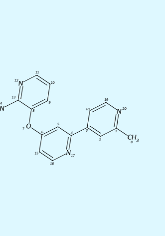 Cc1cc(-c2cc(Oc3cccnc3N)ccn2)ccn1